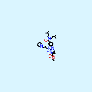 CCOC(=O)C1(Nc2nc3ccc(C(=O)N(CCC(C)C)CCC(C)C)cc3n2CCCN2CCCCC2)CC1